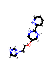 c1ccc(-c2ncc(OCCn3ccnc3)cn2)nc1